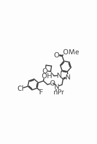 CCCN(Cc1nc2ccc(C(=O)OC)cc2n1C[C@@H]1CCO1)OCC(O)c1ccc(Cl)cc1F